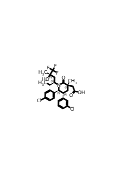 CC[C@@H](C[C@](C)(O)C(F)(F)F)N1C(=O)[C@](C)(CC(=O)O)C[C@H](c2cccc(Cl)c2)[C@H]1c1ccc(Cl)cc1